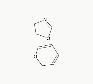 C1=CCOC=C1.C1=NCCO1